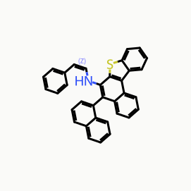 C(=C/c1ccccc1)/Nc1c(-c2cccc3ccccc23)c2ccccc2c2c1sc1ccccc12